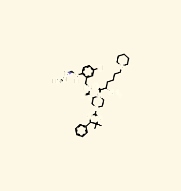 CC1(C)N=C(N2CCN(C(=O)[C@H](N)CCCCN3CCCCC3)[C@H](C(=O)NCc3cc(Cl)ccc3N/C=N\N=N)C2)OC1c1ccccc1